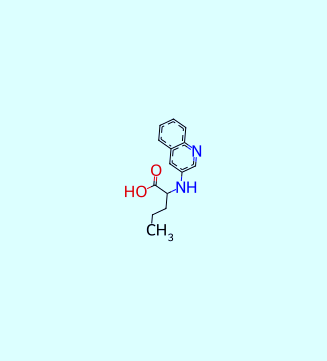 CCCC(Nc1cnc2ccccc2c1)C(=O)O